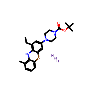 CCc1cc(N2CCN(C(=O)OC(C)(C)C)CC2)cc2c1Nc1c(C)cccc1S2.I.I.I